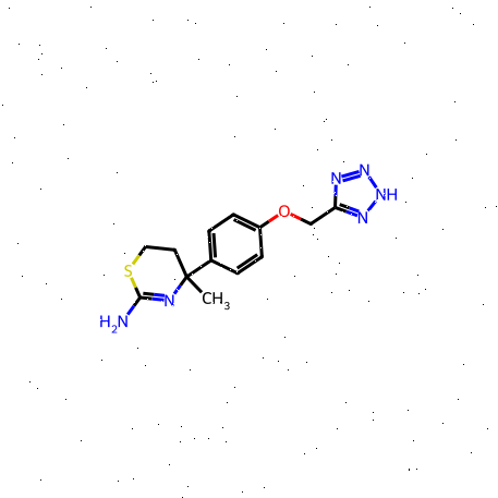 CC1(c2ccc(OCc3nn[nH]n3)cc2)CCSC(N)=N1